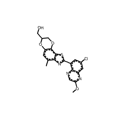 COc1cnc2c(-c3nc4c(C)cc5c(c4s3)OCC(CO)O5)cc(Cl)cc2n1